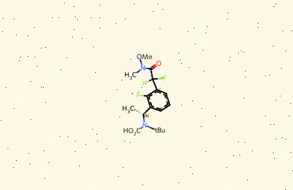 CON(C)C(=O)C(F)(F)c1cccc([C@@H](C)N(C(=O)O)C(C)(C)C)c1F